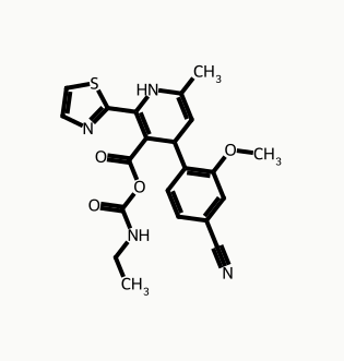 CCNC(=O)OC(=O)C1=C(c2nccs2)NC(C)=CC1c1ccc(C#N)cc1OC